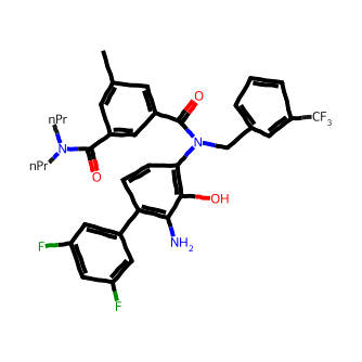 CCCN(CCC)C(=O)c1cc(C)cc(C(=O)N(Cc2cccc(C(F)(F)F)c2)c2ccc(-c3cc(F)cc(F)c3)c(N)c2O)c1